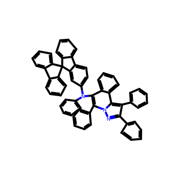 c1ccc(-c2nn3c(-c4ccccc4)c(N(c4ccccc4)c4ccc5c(c4)C4(c6ccccc6-c6ccccc64)c4ccccc4-5)c4ccccc4c3c2-c2ccccc2)cc1